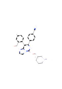 Cc1ccc(-c2c(-c3ccc(C#N)cc3)nc(OC[C@@H]3CCCN(C)C3)n3ccnc23)c(CO)c1